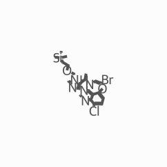 CC(c1cncn1COCC[Si](C)(C)C)N1C=C(Br)Oc2ccc(Cl)c3c2=C1NCN=3